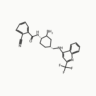 BC1C[C@H](CNc2cc(C(F)(F)F)nc3ccccc23)CC[C@@H]1NC(=O)c1ccccc1C#N